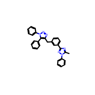 Cc1nc(-c2cccc(Cc3nnn(-c4ccccc4)c3-c3ccccc3)c2)nn1-c1ccccc1